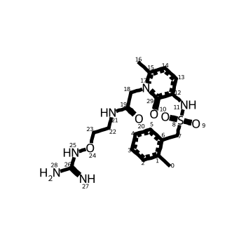 Cc1ccccc1CS(=O)(=O)Nc1ccc(C)n(CC(=O)NCCONC(=N)N)c1=O